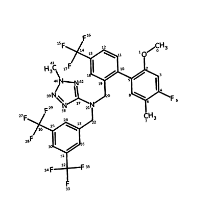 COc1cc(F)c(C)cc1-c1ccc(C(F)(F)F)cc1CN(Cc1cc(C(F)(F)F)cc(C(F)(F)F)c1)c1nnn(C)n1